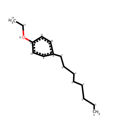 CCCCCCCCc1ccc(OCC)cc1